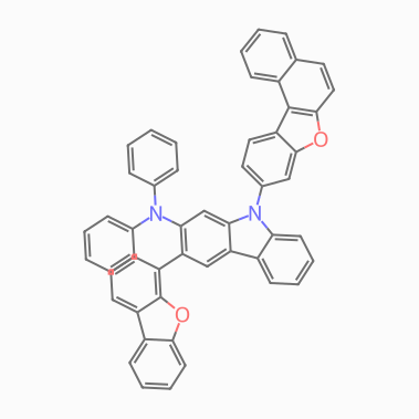 c1ccc(N(c2ccccc2)c2cc3c(cc2-c2cccc4c2oc2ccccc24)c2ccccc2n3-c2ccc3c(c2)oc2ccc4ccccc4c23)cc1